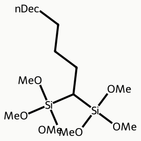 CCCCCCCCCCCCCC([Si](OC)(OC)OC)[Si](OC)(OC)OC